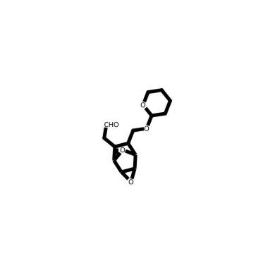 O=CCC1=C2OC(C1COC1CCCCO1)C1OC21